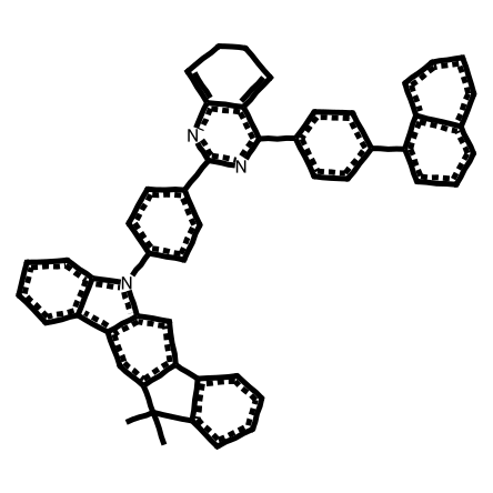 CC1(C)c2ccccc2-c2cc3c(cc21)c1ccccc1n3-c1ccc(-c2nc(-c3ccc(-c4cccc5ccccc45)cc3)c3c(n2)=CCCC=3)cc1